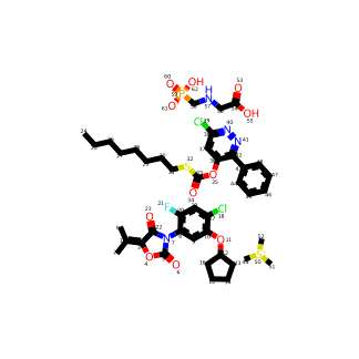 CC(C)=C1OC(=O)N(c2cc(OC3CCCC3)c(Cl)cc2F)C1=O.CCCCCCCCSC(=O)Oc1cc(Cl)nnc1-c1ccccc1.C[S+](C)C.O=C(O)CNCP(=O)([O-])O